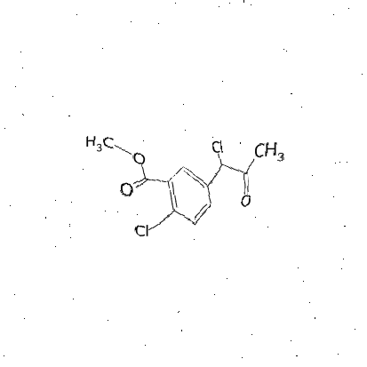 COC(=O)c1cc(C(Cl)C(C)=O)ccc1Cl